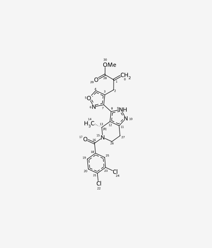 C=C(Cc1conc1-c1[nH]nc2c1[C@@H](C)N(C(=O)c1ccc(Cl)c(Cl)c1)CC2)C(=O)OC